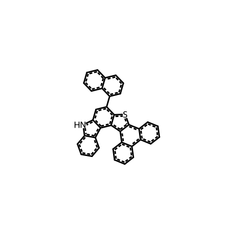 c1ccc2c(-c3cc4[nH]c5ccccc5c4c4c3sc3c5ccccc5c5ccccc5c34)cccc2c1